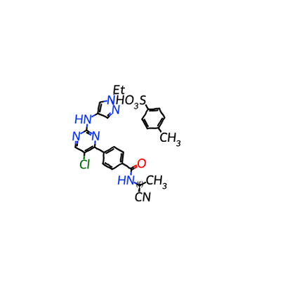 CCn1cc(Nc2ncc(Cl)c(-c3ccc(C(=O)N[C@@H](C)C#N)cc3)n2)cn1.Cc1ccc(S(=O)(=O)O)cc1